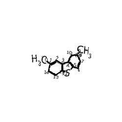 CC1=CC2C3=C(C=C[C@H](C)C3)SC2C=C1